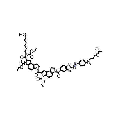 CCOC(=O)N(CCCCCCO)C(=O)c1cc2c3c(ccc2n1C(=O)OCC)N(C(=O)c1cc2c4c(ccc2n1C(=O)OCC)N(C(=O)c1ccc2nc(/N=N/c5ccc(N(C)CCCOC(C)=O)cc5)sc2c1)CC4)CC3